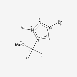 COC(C)(C)c1cc(Br)nn1C